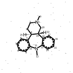 CN1CC[C@@H]2c3ccccc3N(C)c3ccccc3[C@H]2C1